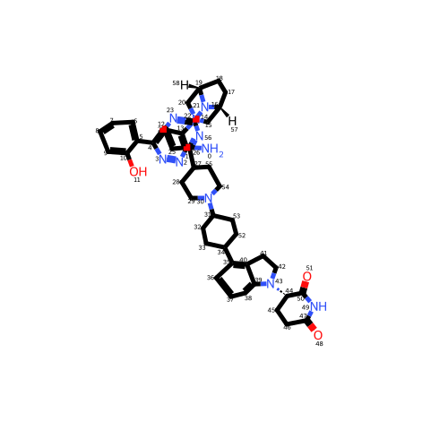 Nc1nnc(-c2ccccc2O)cc1N1C[C@H]2CC[C@@H](C1)N2c1nccc(C2CCN(C3CCC(c4cccc5c4CCN5[C@H]4CCC(=O)NC4=O)CC3)CC2)n1